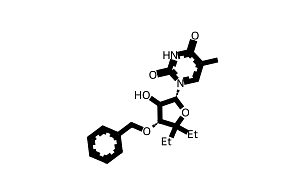 CCC1(CC)O[C@@H](n2cc(C)c(=O)[nH]c2=O)C(O)[C@H]1OCc1ccccc1